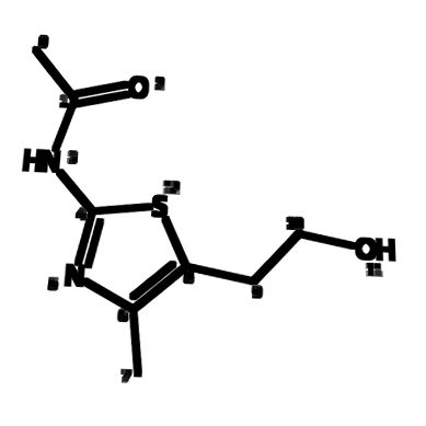 CC(=O)Nc1nc(C)c(CCO)s1